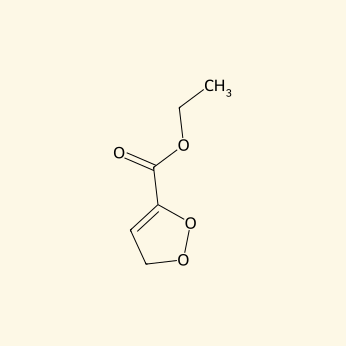 CCOC(=O)C1=CCOO1